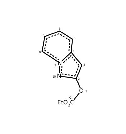 CCOC(=O)Oc1cc2ccccn2n1